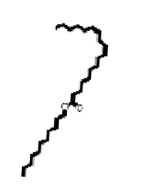 CCCCC/C=C\C/C=C\CCCCCCCC(=O)OCCCCCCCCCCC